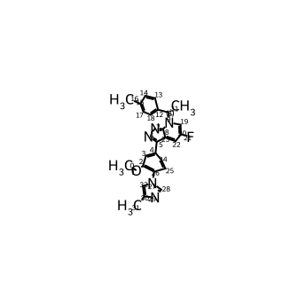 COc1cc(-c2nnc3n([C@@H](C)c4ccc(C)cc4)cc(F)cc2-3)ccc1-n1cnc(C)c1